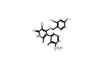 Cc1[nH]c(=O)c(Cl)c(OCc2ccc(F)cc2F)c1-c1cccc(C(=O)O)c1C